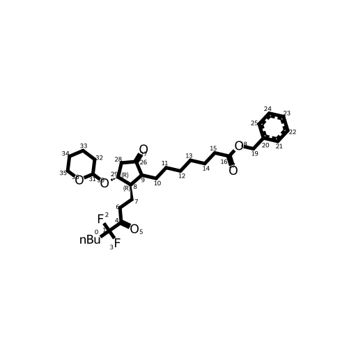 CCCCC(F)(F)C(=O)CC[C@@H]1C(CCCCCCC(=O)OCc2ccccc2)C(=O)C[C@H]1OC1CCCCO1